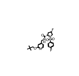 CC(C)(C)COc1cc(CNC(=O)[C@@H]2C[C@@H](F)CN2S(=O)(=O)c2ccc(F)cc2)ccn1